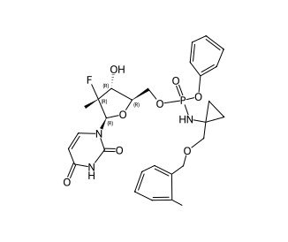 Cc1ccccc1COCC1(NP(=O)(OC[C@H]2O[C@@H](n3ccc(=O)[nH]c3=O)[C@](C)(F)[C@@H]2O)Oc2ccccc2)CC1